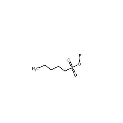 CCCCCS(=O)(=O)OF